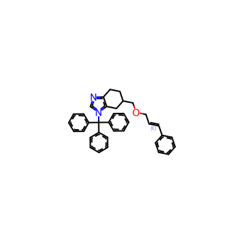 C(=C\c1ccccc1)/COCC1CCc2ncn(C(c3ccccc3)(c3ccccc3)c3ccccc3)c2C1